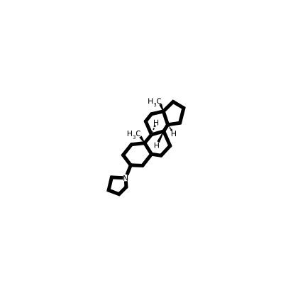 C[C@@]12CCC[C@H]1[C@@H]1CCC3CC(N4CCCC4)CC[C@]3(C)[C@H]1CC2